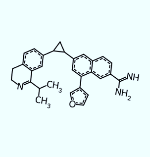 CC(C)C1=NCCc2ccc(C3CC3c3cc(-c4ccoc4)c4cc(C(=N)N)ccc4c3)cc21